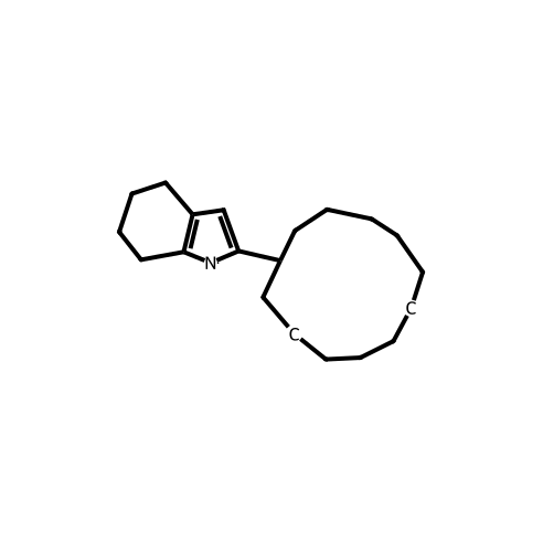 C1=C(C2CCCCCCCCCCC2)[N]C2=C1CCCC2